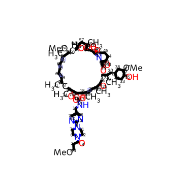 COCCC(=O)N1CCN(c2ncc(CNC(=O)O[C@@H]3/C(C)=C/[C@@H](C)C(=O)C[C@@H]([C@H](C)C[C@@H]4CC[C@@H](O)[C@H](OC)C4)OC(=O)[C@@H]4CCCCN4C(=O)C(=O)[C@]4(O)O[C@@H](CC[C@H]4C)C[C@H](OC)/C(C)=C/C=C/C=C/[C@@H](C)C[C@@H](C)C(=O)[C@@H]3O)cn2)CC1